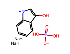 O=P(O)(O)O.Oc1c[nH]c2ccccc12.[NaH].[NaH]